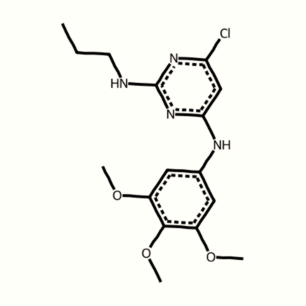 CCCNc1nc(Cl)cc(Nc2cc(OC)c(OC)c(OC)c2)n1